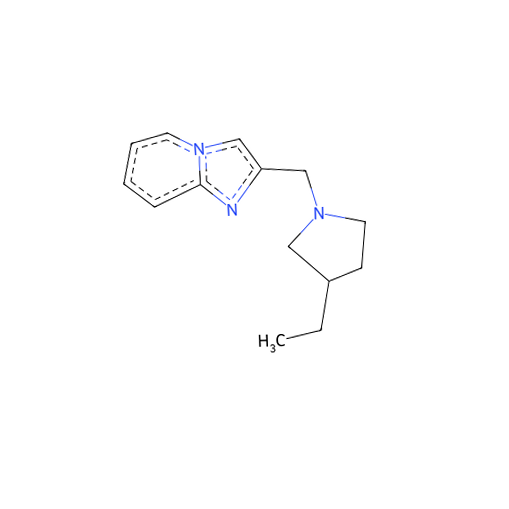 CCC1CCN(Cc2cn3ccccc3n2)C1